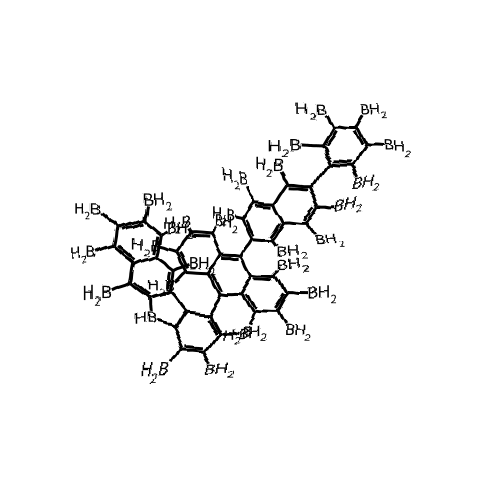 BC1=C(B)C2Bc3c(c(B)c4c(B)c(B)c(B)c(B)c4c3B)C2C(c2c3c(B)c(B)c(B)c(B)c3c(-c3c(B)c(B)c4c(B)c(-c5c(B)c(B)c(B)c(B)c5B)c(B)c(B)c4c3B)c3c(B)c(B)c(B)c(B)c23)=C1B